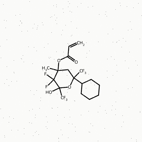 C=CC(=O)OC1(C)CC(C2CCCCC2)(C(F)(F)F)OC(O)(C(F)(F)F)C1(F)F